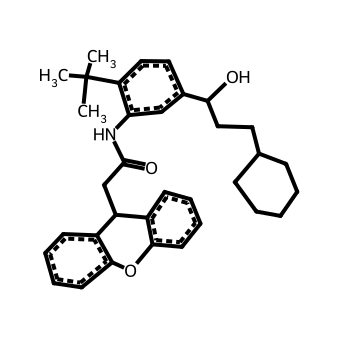 CC(C)(C)c1ccc(C(O)CCC2CCCCC2)cc1NC(=O)CC1c2ccccc2Oc2ccccc21